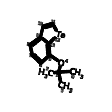 CC(C)(C)Oc1cccc2cc[te]c12